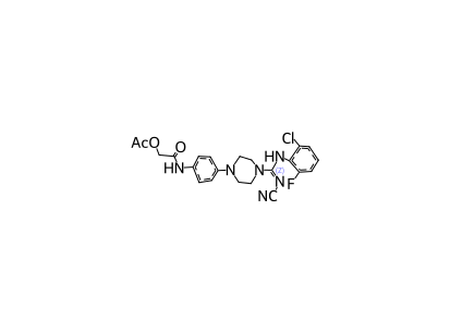 CC(=O)OCC(=O)Nc1ccc(N2CCN(/C(=N\C#N)Nc3c(F)cccc3Cl)CC2)cc1